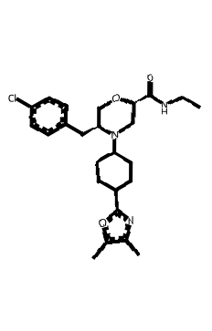 CCNC(=O)[C@H]1CN(C2CCC(c3nc(C)c(C)o3)CC2)[C@@H](Cc2ccc(Cl)cc2)CO1